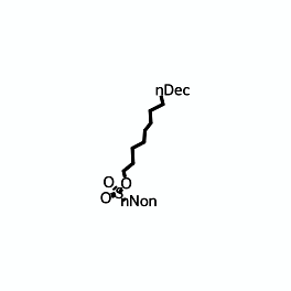 CCCCCCCCCCCCCCCCCCOS(=O)(=O)CCCCCCCCC